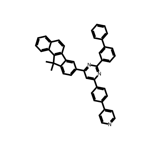 CC1(C)c2ccc(-c3cc(-c4ccc(-c5ccncc5)cc4)nc(-c4cccc(-c5ccccc5)c4)n3)cc2-c2ccc3ccccc3c21